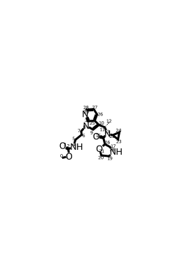 COC(=O)NCCCn1cc([C@H](C)N(C(=O)C2CNCCO2)C2CC2)c2cccnc21